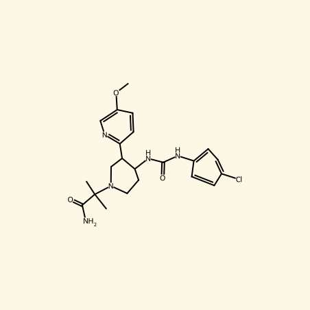 COc1ccc(C2CN(C(C)(C)C(N)=O)CCC2NC(=O)Nc2ccc(Cl)cc2)nc1